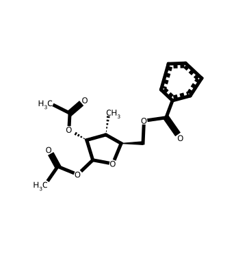 CC(=O)OC1O[C@H](COC(=O)c2ccccc2)[C@@H](C)[C@H]1OC(C)=O